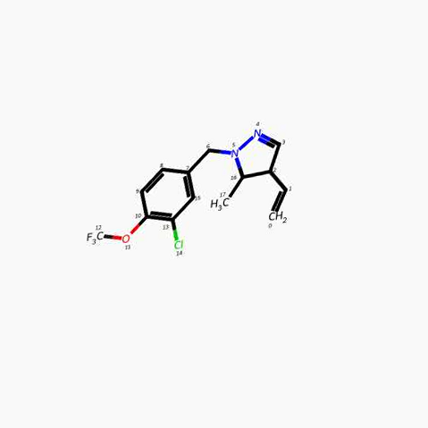 C=CC1C=NN(Cc2ccc(OC(F)(F)F)c(Cl)c2)C1C